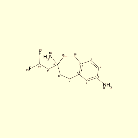 Nc1ccc2c(c1)CCC(N)(CC(F)F)CC2